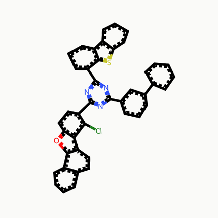 Clc1c(-c2nc(-c3cccc(-c4ccccc4)c3)nc(-c3cccc4c3sc3ccccc34)n2)ccc2oc3c4ccccc4ccc3c12